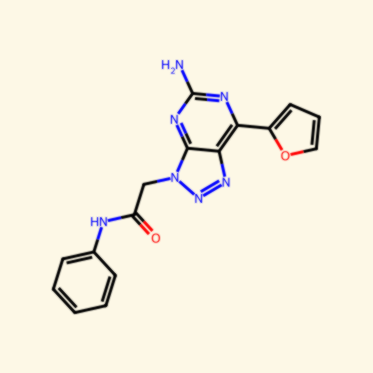 Nc1nc(-c2ccco2)c2nnn(CC(=O)Nc3ccccc3)c2n1